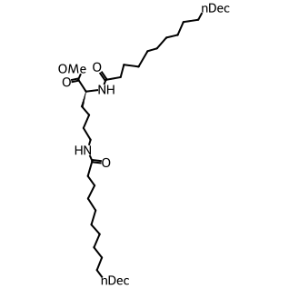 CCCCCCCCCCCCCCCCCCCC(=O)NCCCC[C@H](NC(=O)CCCCCCCCCCCCCCCCCCC)C(=O)OC